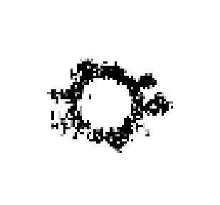 CC[C@H](C)[C@@H]1NC(=O)[C@H](CC(C)C)N(C)C(=O)C[C@@H](C(=O)N2CCCCC2)N(C)C(=O)[C@H](C(C)C)N(C)C(=O)C2(CCCC2)NC(=O)[C@@H]2C[C@@H](n3ccnn3)CN2C(=O)[C@H](CCc2ccc(C(F)(F)F)c(Cl)c2)NC(=O)CN(C)C(=O)[C@H](CC2CCCC2)N(C)C(=O)CN(C)C(=O)CN(C)C1=O